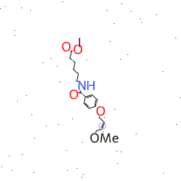 COC/C=C\COc1ccc(C(=O)NCCCCCC(=O)OI)cc1